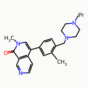 Cc1cc(-c2cn(C)c(=O)c3cnccc23)ccc1CN1CCN(C(C)C)CC1